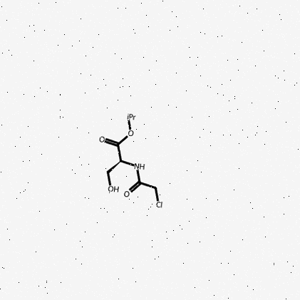 CC(C)OC(=O)[C@H](CO)NC(=O)CCl